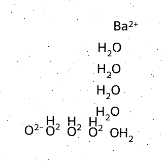 O.O.O.O.O.O.O.O.[Ba+2].[O-2]